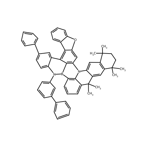 CC1(C)CCC(C)(C)c2cc3c(cc21)N1c2cc4oc5ccccc5c4c4c2B(c2cccc(c21)C3(C)C)N(c1cccc(-c2ccccc2)c1)c1ccc(-c2ccccc2)cc1-4